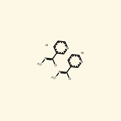 C/N=C(\Cl)c1cccnc1.C/N=C(\Cl)c1cccnc1.I.I